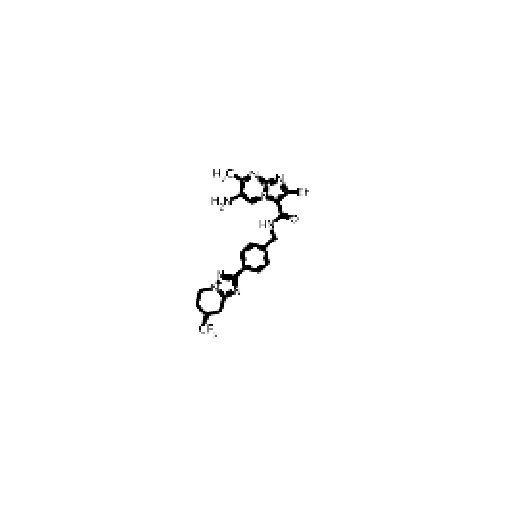 CCc1nc2nc(C)c(N)cn2c1C(=O)NCc1ccc(-c2nc3n(n2)CCC(C(F)(F)F)C3)cc1